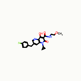 COCCNC(=O)c1c(O)c2ncc(Cc3ccc(F)cc3)cc2n(C2CC2)c1=O